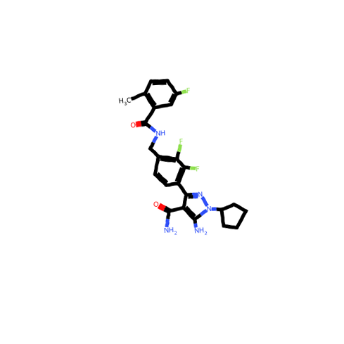 Cc1ccc(F)cc1C(=O)NCc1ccc(-c2nn(C3CCCC3)c(N)c2C(N)=O)c(F)c1F